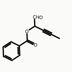 CC#CC(C=O)OC(=O)c1ccccc1